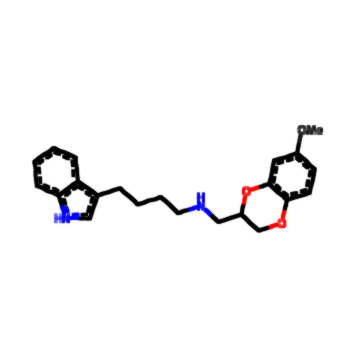 COc1ccc2c(c1)OC(CNCCCCc1c[nH]c3ccccc13)CO2